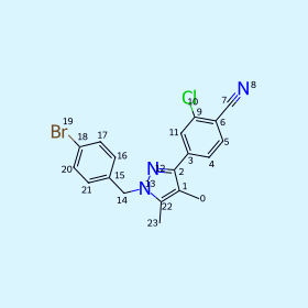 Cc1c(-c2ccc(C#N)c(Cl)c2)nn(Cc2ccc(Br)cc2)c1C